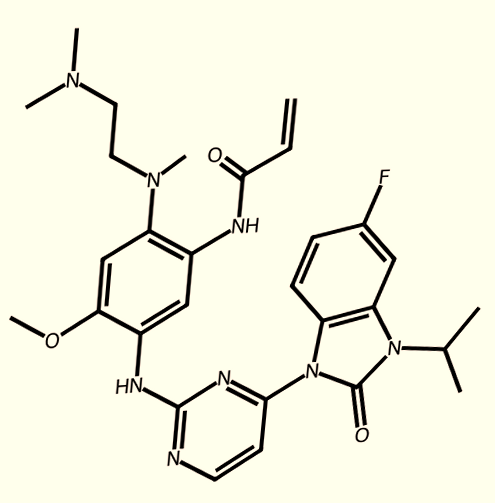 C=CC(=O)Nc1cc(Nc2nccc(-n3c(=O)n(C(C)C)c4cc(F)ccc43)n2)c(OC)cc1N(C)CCN(C)C